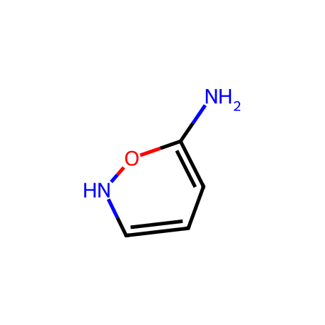 NC1=CC=CNO1